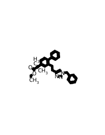 CCOC(=O)C(C)(C)c1ccc(-c2ccccc2)c(CCc2cn(Cc3ccccc3)nn2)c1